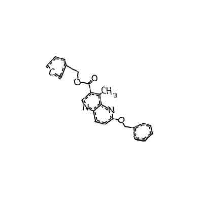 Cc1c(C(=O)OCc2ccccc2)cnc2ccc(OCc3ccccc3)nc12